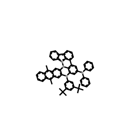 Cc1c2ccccc2c(C)c2cc3c(cc12)B1c2c(cc(N(c4ccccc4)c4ccccc4)cc2N3c2cc(C(C)(C)C)cc(C(C)(C)C)c2)-c2cccc3c4ccccc4n1c23